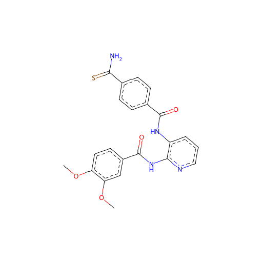 COc1ccc(C(=O)Nc2ncccc2NC(=O)c2ccc(C(N)=S)cc2)cc1OC